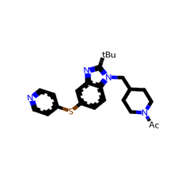 CC(=O)N1CCC(Cn2c(C(C)(C)C)nc3cc(Sc4ccncc4)ccc32)CC1